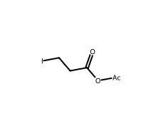 CC(=O)OC(=O)CCI